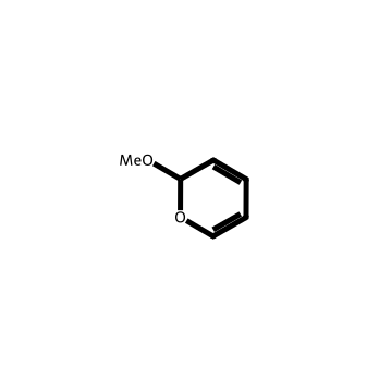 COC1C=CC=CO1